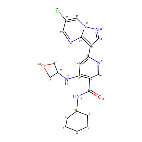 O=C(NC1CCCCC1)c1cnc(-c2cnn3cc(Cl)cnc23)cc1NC1COC1